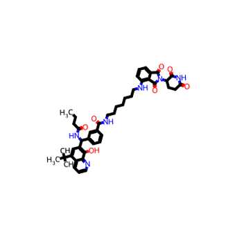 CCCC(=O)NC(c1cccc(C(=O)NCCCCCCCNc2cccc3c2C(=O)N(C2CCC(=O)NC2=O)C3=O)c1)c1cc(C(C)(C)C)c2cccnc2c1O